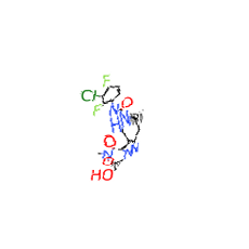 C[C@@H]1Cc2nn3c(c2CN1C(=O)Nc1ccc(F)c(Cl)c1F)C(=O)N(C)O[C@H](CO)C3